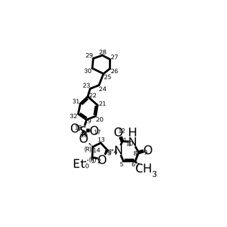 CC[C@H]1O[C@@H](n2cc(C)c(=O)[nH]c2=O)C[C@H]1OS(=O)(=O)c1ccc(CCC2CCCCC2)cc1